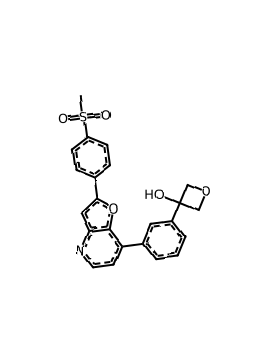 CS(=O)(=O)c1ccc(-c2cc3nccc(-c4cccc(C5(O)COC5)c4)c3o2)cc1